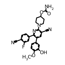 COc1ccc(-c2cc(C#N)c(N3CCC(OC(N)=O)CC3)nc2-c2ccc(C#N)c(F)c2)cc1O